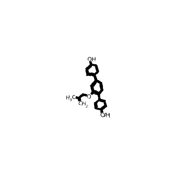 C=C(C)COc1cc(-c2ccc(O)cc2)ccc1-c1ccc(O)cc1